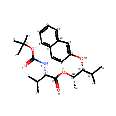 CC(C)[C@H](NC(=O)OC(C)(C)C)C(=O)O[C@@H](C)[C@H](Oc1ccc2ccccc2c1)C(C)C